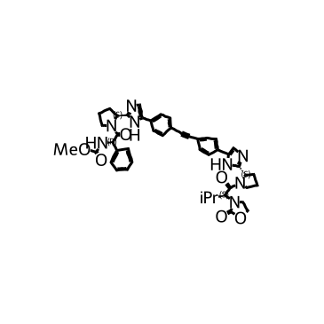 COC(=O)N[C@@H](C(=O)N1CCC[C@H]1c1ncc(-c2ccc(C#Cc3ccc(-c4cnc([C@@H]5CCCN5C(=O)[C@H](C(C)C)N5CCOC5=O)[nH]4)cc3)cc2)[nH]1)c1ccccc1